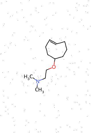 CN(C)CCOC1CC/C=C/CCC1